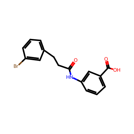 O=C(CCc1cccc(Br)c1)Nc1cccc(C(=O)O)c1